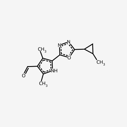 Cc1[nH]c(-c2nnc(C3CC3C)o2)c(C)c1C=O